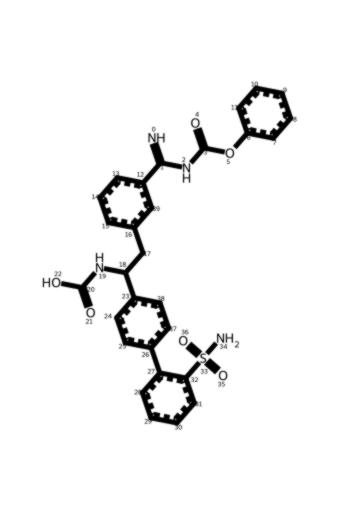 N=C(NC(=O)Oc1ccccc1)c1cccc(CC(NC(=O)O)c2ccc(-c3ccccc3S(N)(=O)=O)cc2)c1